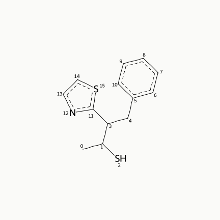 CC(S)C(Cc1ccccc1)c1nccs1